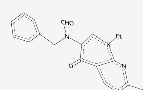 CCn1cc(N(C=O)Cc2ccccc2)c(=O)c2ccc(C)nc21